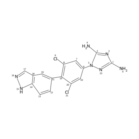 Nc1nc(N)n(-c2cc(Cl)c(-c3ccc4[nH]ncc4c3)c(Cl)c2)n1